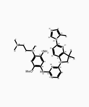 COc1cc(N(C)CCN(C)C)c(N)cc1Nc1nccc(N2CC(C)(C)c3nc(-n4cncc4C)ccc32)n1